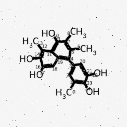 Cc1cc(-c2c(C)c(C)c(O)c3c(C)c(O)c(O)cc23)cc(O)c1O